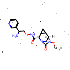 NC(CONC(=O)[C@@H]1C2CC2[C@@H]2CN1C(=O)N2OS(=O)(=O)O)c1cccnc1